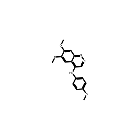 COc1ccc(Nc2cnnc3cc(OC)c(OC)cc23)cc1